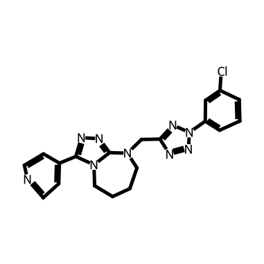 Clc1cccc(-n2nnc(CN3CCCCn4c(-c5ccncc5)nnc43)n2)c1